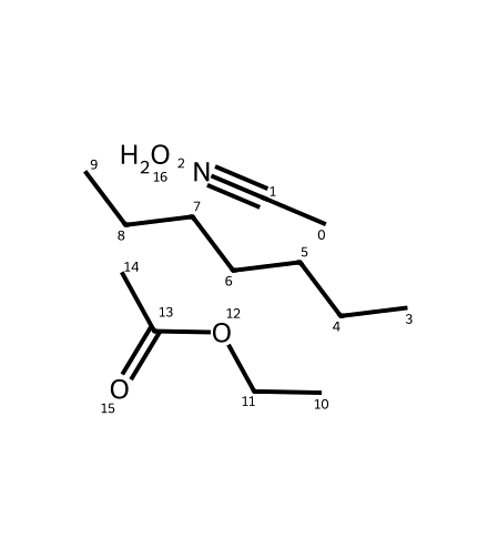 CC#N.CCCCCCC.CCOC(C)=O.O